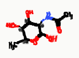 CC(=O)N[C@@H]1C(O)O[C@@H](C)[C@H](O)[C@H]1O